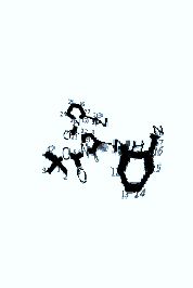 CC(C)(C)OC(=O)N1C[C@@H](Nc2ccccc2C#N)C[C@H]1C(=O)N1CCC[C@H]1C#N